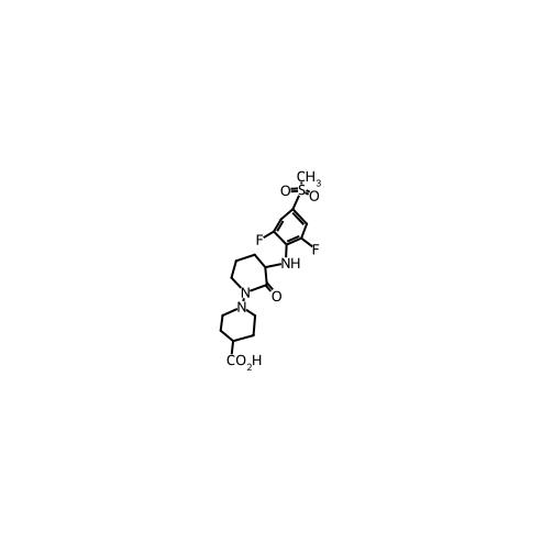 CS(=O)(=O)c1cc(F)c(NC2CCCN(N3CCC(C(=O)O)CC3)C2=O)c(F)c1